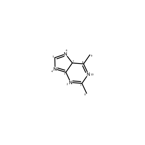 CC1=NC2=NC=NC2C(C)=N1